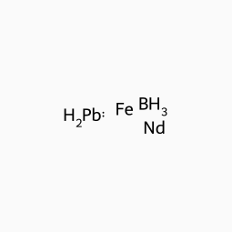 B.[Fe].[Nd].[PbH2]